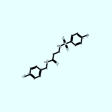 O=C(CCNS(=O)(=O)c1ccc(Br)cc1)NCc1ccc(Cl)cc1